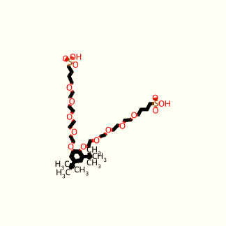 CC(C)(C)c1cc(OCCOCCOCCOCCOCCCCS(=O)(=O)O)c(OCCOCCOCCOCCOCCCCS(=O)(=O)O)c(C(C)(C)C)c1